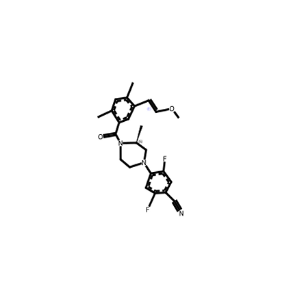 CO/C=C/c1cc(C(=O)N2CCN(c3cc(F)c(C#N)cc3F)C[C@@H]2C)c(C)cc1C